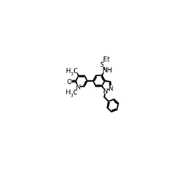 CCSNc1cc(-c2cc(C)c(=O)n(C)c2)cc2c1cnn2Cc1ccccc1